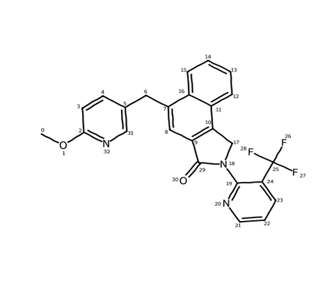 COc1ccc(Cc2cc3c(c4ccccc24)CN(c2ncccc2C(F)(F)F)C3=O)cn1